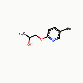 CC(O)COc1ccc(C(C)(C)C)cn1